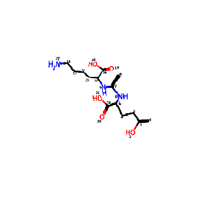 C=C(O)CCC(NC(=C)NC(CCCCN)C(=O)O)C(=O)O